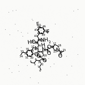 CCCC(CCC)S(=O)(=O)CC(NC(=O)O[C@@H]1CCN(C(C)=O)C1)C(=O)N(Cc1cccc(CC)c1)C[C@@H](O)[C@@H](N)Cc1cc(F)cc(F)c1